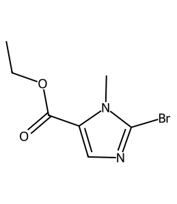 CCOC(=O)c1cnc(Br)n1C